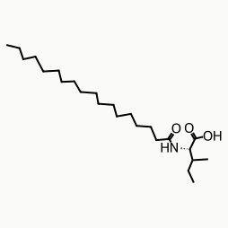 CCCCCCCCCCCCCCCCCC(=O)N[C@H](C(=O)O)C(C)CC